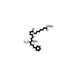 COC(=O)CCCCCCN1C(=O)CCC1CC[C@@H](O)[C@H](C)CCCc1ccccc1